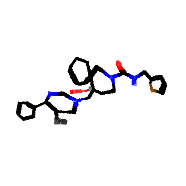 O=CC1=C(c2ccccc2)N=CN(C[C@]2(O)CCN(C(=O)NCc3cccs3)CC23CCCC3)C1